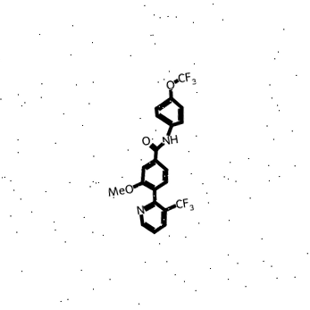 COc1cc(C(=O)Nc2ccc(OC(F)(F)F)cc2)ccc1-c1ncccc1C(F)(F)F